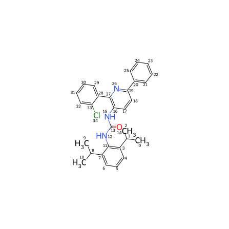 CC(C)c1cccc(C(C)C)c1NC(=O)Nc1ccc(-c2ccccc2)nc1-c1ccccc1Cl